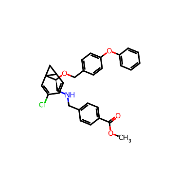 COC(=O)c1ccc(CNC[C@H](OCc2ccc(Oc3ccccc3)cc2)C23C=C(Cl)C=CC2C3)cc1